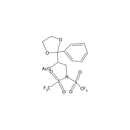 CC(=O)OC(CN(S(=O)(=O)C(F)(F)F)S(=O)(=O)C(F)(F)F)C1(c2ccccc2)OCCO1